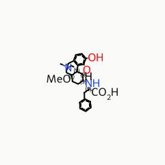 CO[C@@]12CC[C@H](N[C@@H](Cc3ccccc3)C(=O)O)[C@@H]3Oc4c(O)ccc5c4[C@@]31CCN(C)C2C5